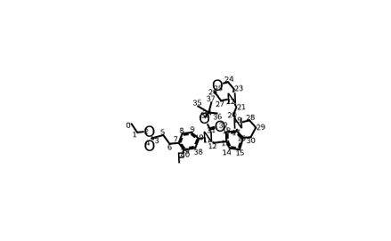 CCOC(=O)CCc1ccc(N(Cc2ccc3c(c2)N(CCN2CCOCC2)CCC3)C(=O)OC(C)(C)C)cc1F